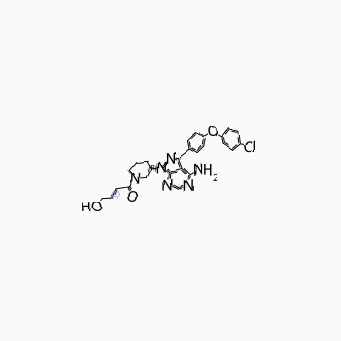 Nc1ncnc2c1c(-c1ccc(Oc3ccc(Cl)cc3)cc1)nn2[C@@H]1CCCN(C(=O)/C=C/CO)C1